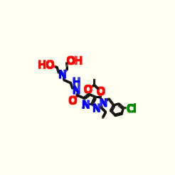 CCc1nc2c(c(OC(C)C)c(C(=O)NCCCN(CCO)CCO)n2C)c(=O)n1Cc1cccc(Cl)c1